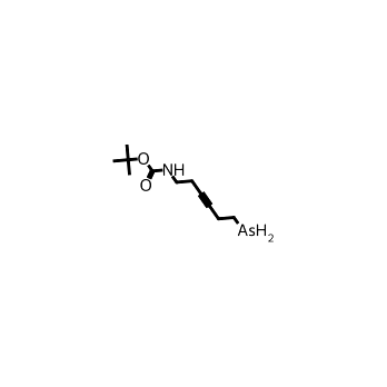 CC(C)(C)OC(=O)NCCC#CCC[AsH2]